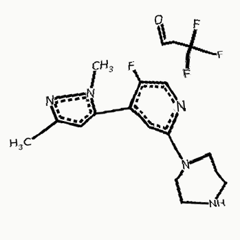 Cc1cc(-c2cc(N3CCNCC3)ncc2F)n(C)n1.O=CC(F)(F)F